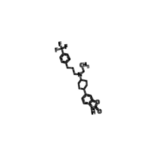 CCN(CCCc1ccc(C(F)(F)F)cc1)C1CCC(c2ccc3[nH]c(=O)oc3c2)CC1